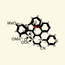 CCOc1ccccc1C1C(C2C(=O)Nc3ccccc32)[N+](C(=O)[O-])(S(=O)(=O)c2ccc(OC)cc2OC)CC(C#N)N1c1ccncc1